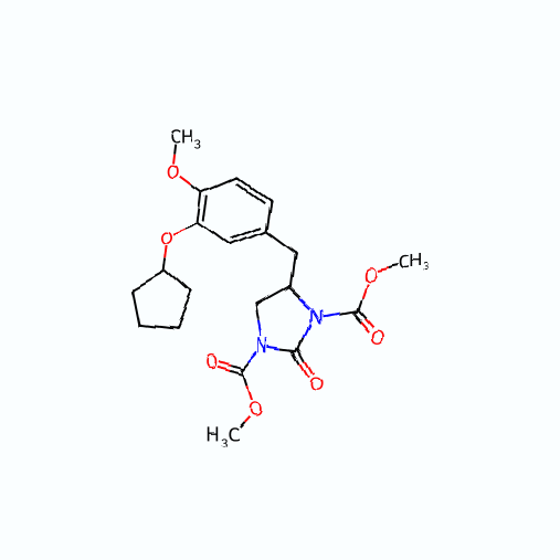 COC(=O)N1CC(Cc2ccc(OC)c(OC3CCCC3)c2)N(C(=O)OC)C1=O